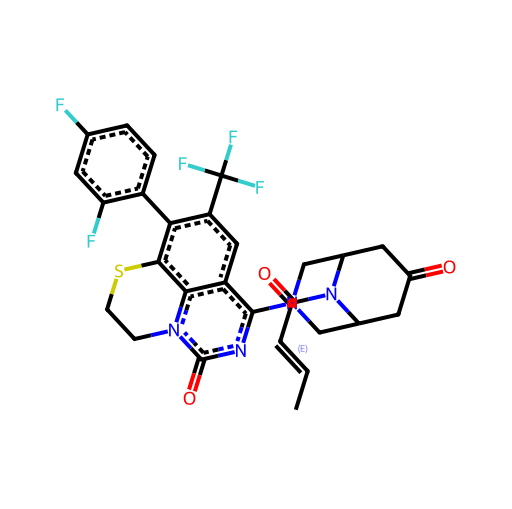 C/C=C/C(=O)N1C2CC(=O)CC1CN(c1nc(=O)n3c4c(c(-c5ccc(F)cc5F)c(C(F)(F)F)cc14)SCC3)C2